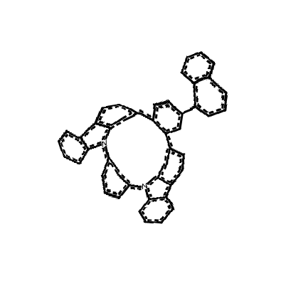 c1ccc2c(-c3ccc4c5ccc6c7ccccc7n(c7cccc(c7)n7c8ccccc8c8ccc(cc87)c4c3)c6c5)cccc2c1